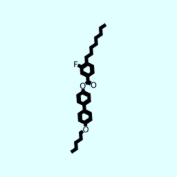 CCCCCCCCc1ccc(C(=O)Oc2ccc(-c3ccc(OCCCCC)cc3)cc2)cc1F